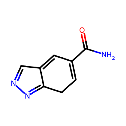 NC(=O)C1=CCC2=NN=CC2=C1